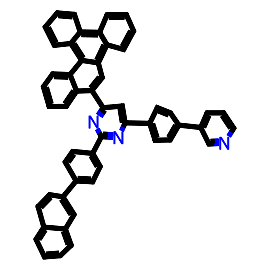 c1cncc(-c2ccc(-c3cc(-c4cc5c6ccccc6c6ccccc6c5c5ccccc45)nc(-c4ccc(-c5ccc6ccccc6c5)cc4)n3)cc2)c1